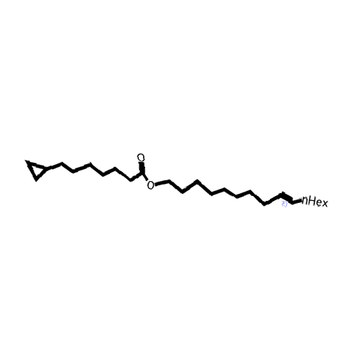 CCCCCC/C=C/CCCCCCCCOC(=O)CCCCCCC1CC1